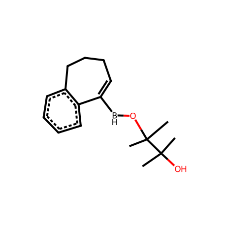 CC(C)(O)C(C)(C)OBC1=CCCCc2ccccc21